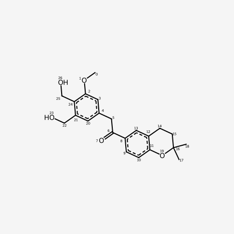 COc1cc(CC(=O)c2ccc3c(c2)CCC(C)(C)O3)cc(CO)c1CO